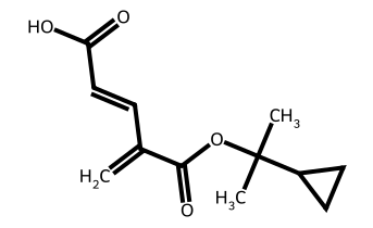 C=C(C=CC(=O)O)C(=O)OC(C)(C)C1CC1